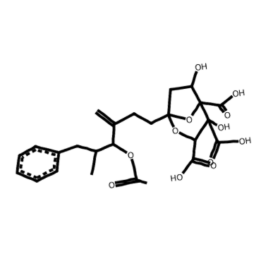 C=C(CCC12CC(O)C(C(=O)O)(O1)C(O)(C(=O)O)C(C(=O)O)O2)C(OC(C)=O)C(C)Cc1ccccc1